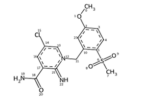 COc1ccc(S(C)(=O)=O)c(Cn2cc(Cl)cc(C(N)=O)c2=N)c1